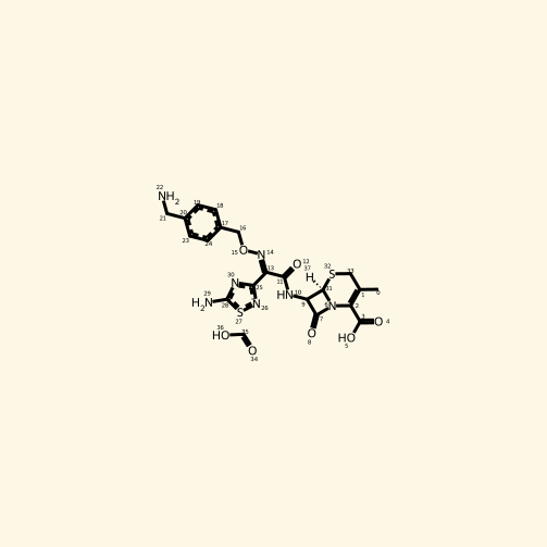 CC1=C(C(=O)O)N2C(=O)C(NC(=O)/C(=N/OCc3ccc(CN)cc3)c3nsc(N)n3)[C@H]2SC1.O=CO